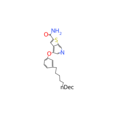 CCCCCCCCCCCCCCCc1cccc(Oc2cncc3sc(C(N)=O)cc23)c1